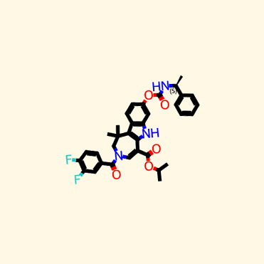 CC(C)OC(=O)C1=CN(C(=O)c2ccc(F)c(F)c2)CC(C)(C)c2c1[nH]c1cc(OC(=O)N[C@@H](C)c3ccccc3)ccc21